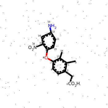 Cc1c(CC(=O)O)ccc(Oc2ccc(N)cc2[N+](=O)[O-])c1C